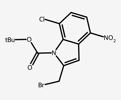 CC(C)(C)OC(=O)n1c(CBr)cc2c([N+](=O)[O-])ccc(Cl)c21